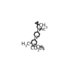 CCOC(=O)N1C(C)CC(N2CCC(N(CC3(C)CC3)C(C)=O)CC2)CC1C